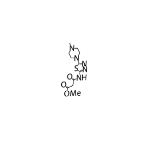 COC(=O)CC(=O)Nc1nnc(N2CCN(C)CC2)s1